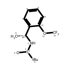 C[C@@H](N[S+]([O-])C(C)(C)C)c1ccccc1OC(F)(F)F